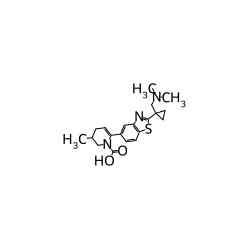 CC1CC=C(c2ccc3sc(C4(CN(C)C)CC4)nc3c2)N(C(=O)O)C1